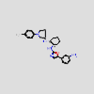 Nc1cccc(-c2cnc(N[C@@H]3CCCC[C@H]3N[C@H]3CCCN(c4ccc(C(F)(F)F)cc4)C3)o2)c1